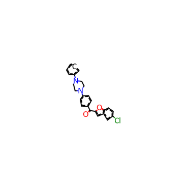 O=C(c1ccc(N2CCN(c3ccccc3)CC2)cc1)c1cc2cc(Cl)ccc2o1